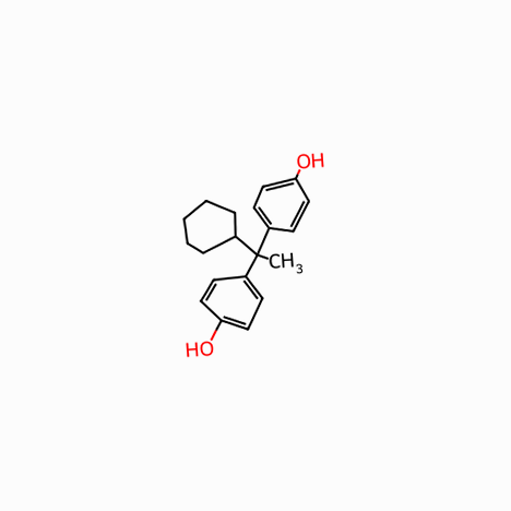 CC(c1ccc(O)cc1)(c1ccc(O)cc1)C1CCCCC1